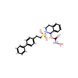 O=C(NO)O[C@@H]1c2ccccc2CCN1S(=O)(=O)CCc1ccc(-c2ccccc2)cc1